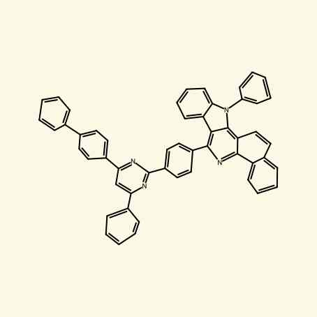 c1ccc(-c2ccc(-c3cc(-c4ccccc4)nc(-c4ccc(-c5nc6c7ccccc7ccc6c6c5c5ccccc5n6-c5ccccc5)cc4)n3)cc2)cc1